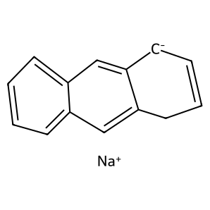 C1=CCc2cc3ccccc3cc2[CH-]1.[Na+]